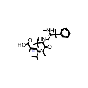 CN[C@H](CN[C@H](C(=O)N(C)[C@H](/C=C(\C)C(=O)O)C(C)C)C(C)(C)C)C(C)(C)c1ccccc1